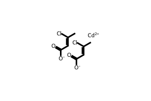 C/C(Cl)=C/C(=O)[O-].C/C(Cl)=C/C(=O)[O-].[Cd+2]